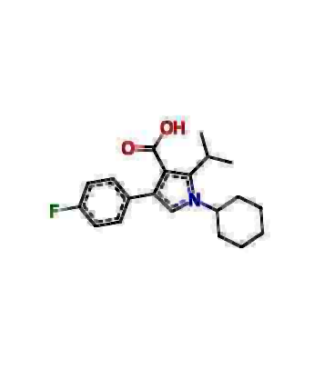 CC(C)c1c(C(=O)O)c(-c2ccc(F)cc2)cn1C1CCCCC1